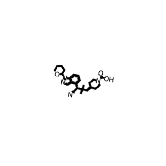 CC(C)(C=C1CCN(C(=O)O)CC1)C(C#N)c1cccc2c1cnn2C1CCCCO1